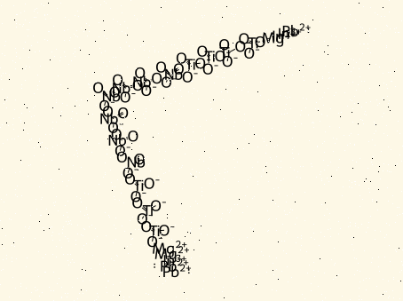 [In+3].[In+3].[In+3].[Mg+2].[Mg+2].[Mg+2].[O]=[Nb](=[O])[O-].[O]=[Nb](=[O])[O-].[O]=[Nb](=[O])[O-].[O]=[Nb](=[O])[O-].[O]=[Nb](=[O])[O-].[O]=[Nb](=[O])[O-].[O]=[Nb](=[O])[O-].[O]=[Ti]([O-])[O-].[O]=[Ti]([O-])[O-].[O]=[Ti]([O-])[O-].[O]=[Ti]([O-])[O-].[O]=[Ti]([O-])[O-].[O]=[Ti]([O-])[O-].[O]=[Ti]([O-])[O-].[Pb+2].[Pb+2].[Pb+2]